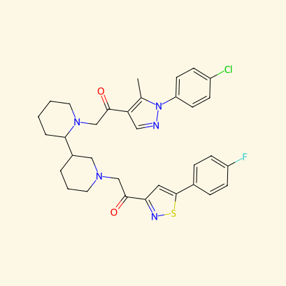 Cc1c(C(=O)CN2CCCCC2C2CCCN(CC(=O)c3cc(-c4ccc(F)cc4)sn3)C2)cnn1-c1ccc(Cl)cc1